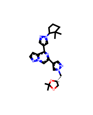 CC1(C)OC[C@@H](Cn2cc(-c3cn4nccc4c(-c4cnn(C5CCCC5(C)C)c4)n3)cn2)O1